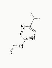 CC(C)c1cnc(OCF)cn1